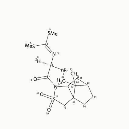 [2H][C@@](CCC)(N=C(SC)SC)C(=O)N1C2CC3CCC2(CS1(=O)=O)C3(C)C